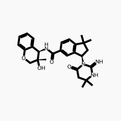 CC1(C)CC(=O)N([C@@H]2CC(C)(C)c3ccc(C(=O)N[C@@H]4c5ccccc5OC[C@@]4(C)O)cc32)C(=N)N1